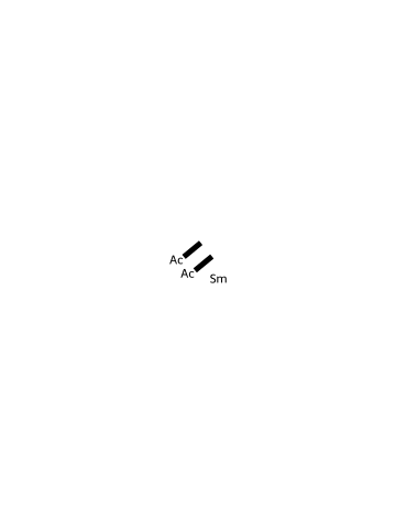 CC(C)=O.CC(C)=O.[Sm]